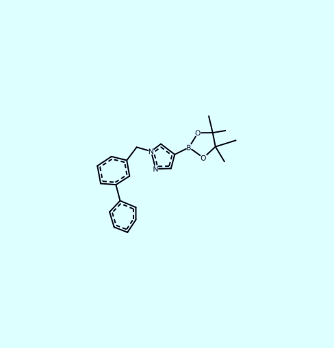 CC1(C)OB(c2cnn(Cc3cccc(-c4ccccc4)c3)c2)OC1(C)C